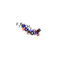 Cn1nc(C(F)(F)F)cc1Oc1ccc(NC(=O)c2ccc(CN3C(=O)C4C5CCC(O5)C4C3=O)cc2)cn1